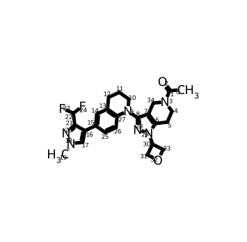 CC(=O)N1CCc2c(c(N3CCCc4cc(-c5cn(C)nc5C(F)F)ccc43)nn2C2COC2)C1